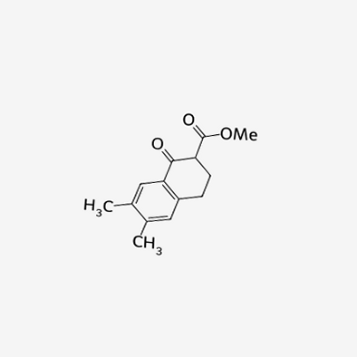 COC(=O)C1CCc2cc(C)c(C)cc2C1=O